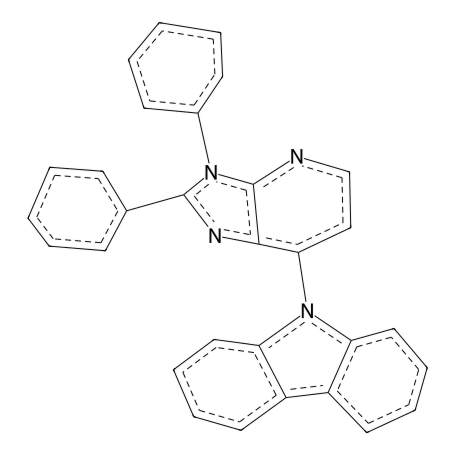 c1ccc(-c2nc3c(-n4c5ccccc5c5ccccc54)ccnc3n2-c2ccccc2)cc1